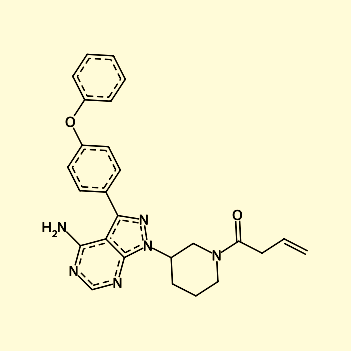 C=CCC(=O)N1CCCC(n2nc(-c3ccc(Oc4ccccc4)cc3)c3c(N)ncnc32)C1